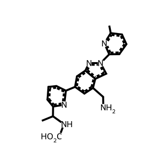 Cc1cccc(-n2cc3c(CN)cc(-c4cccc(C(C)NC(=O)O)n4)cc3n2)n1